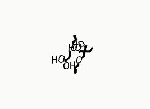 C=CCOCC(CC)(CO)CO.C=CCOCCC(O)O